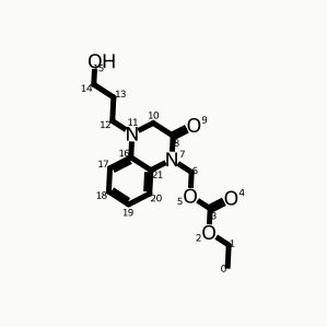 CCOC(=O)OCN1C(=O)CN(CCCO)c2ccccc21